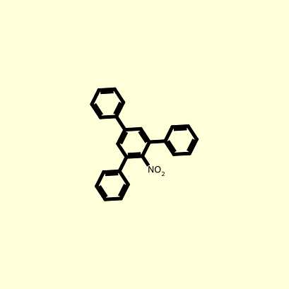 O=[N+]([O-])c1c(-c2ccccc2)cc(-c2ccccc2)cc1-c1ccccc1